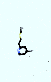 CC(C)c1ccnc(CCSCC(C)(C)C)c1